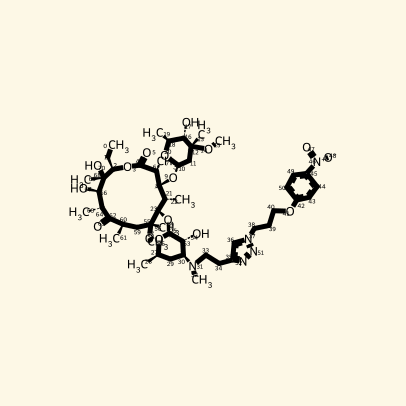 CC[C@H]1OC(=O)[C@H](C)[C@@H](O[C@H]2C[C@@](C)(OC)[C@@H](O)[C@H](C)O2)[C@H](C)[C@@H](O[C@@H]2O[C@H](C)C[C@H](N(C)CCc3cn(CCCOc4ccc([N+](=O)[O-])cc4)nn3)[C@H]2O)[C@](C)(OC)C[C@@H](C)C(=O)[C@H](C)[C@@H](O)[C@]1(C)O